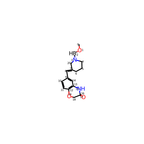 COBN1CCCC(=Cc2ccc3c(c2)NC(=O)CO3)C1